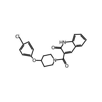 O=C(c1cc2ccccc2[nH]c1=O)N1CCC(Oc2ccc(Cl)cc2)CC1